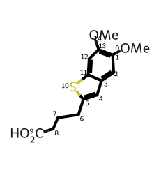 COc1cc2cc(CCCC(=O)O)sc2cc1OC